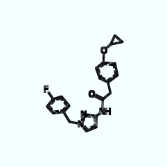 O=C(Cc1ccc(OC2CC2)cc1)Nc1ccn(Cc2ccc(F)cc2)n1